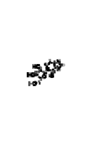 OC[C@H]1O[C@@H](n2ccc3ncsc3c2=S)[C@@H](O)C1O